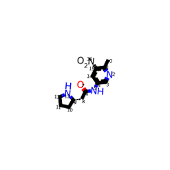 Cc1ncc(NC(=O)C[C@@H]2CCCN2)cc1[N+](=O)[O-]